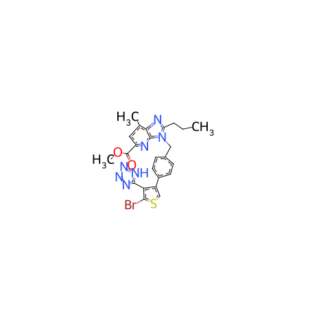 CCCc1nc2c(C)cc(C(=O)OC)nc2n1Cc1ccc(-c2csc(Br)c2-c2nnn[nH]2)cc1